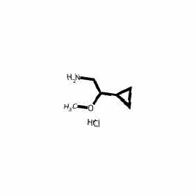 COC(CN)C1CC1.Cl